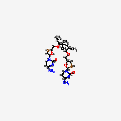 C=C=C(OC[C@H]1O[C@@H](n2ccc(N)nc2=O)CS1)C(C)(C)CC(C)COC[C@H]1CS[C@@H](n2ccc(N)nc2=O)O1